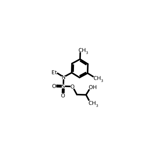 CCN(c1cc(C)cc(C)c1)S(=O)(=O)OCC(C)O